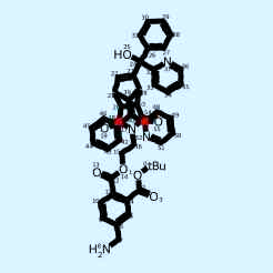 CC(C)(C)OC(=O)c1cc(CN)ccc1C(=O)OCCN1C(=O)C2C3C=C(C(O)(c4ccccc4)c4ccccn4)C(C3=C(c3ccccc3)c3ccccn3)C2C1=O